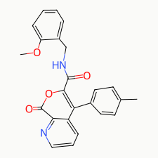 COc1ccccc1CNC(=O)c1oc(=O)c2ncccc2c1-c1ccc(C)cc1